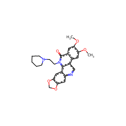 COc1cc2c(=O)n(CCN3CCCCC3)c3c4cc5c(cc4ncc3c2cc1OC)OCO5